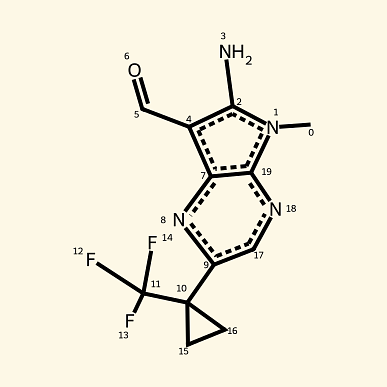 Cn1c(N)c(C=O)c2nc(C3(C(F)(F)F)CC3)cnc21